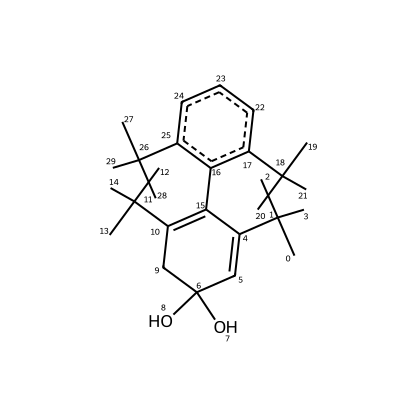 CC(C)(C)C1=CC(O)(O)CC(C(C)(C)C)=C1c1c(C(C)(C)C)cccc1C(C)(C)C